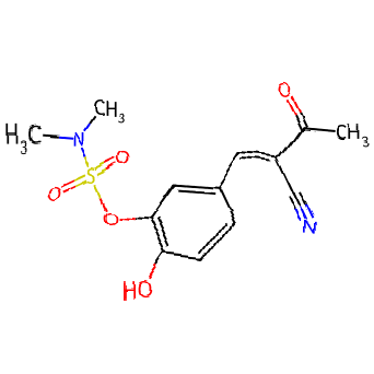 CC(=O)/C(C#N)=C/c1ccc(O)c(OS(=O)(=O)N(C)C)c1